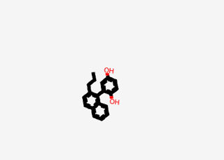 CCCc1ccc2ccccc2c1-c1cc(O)ccc1O